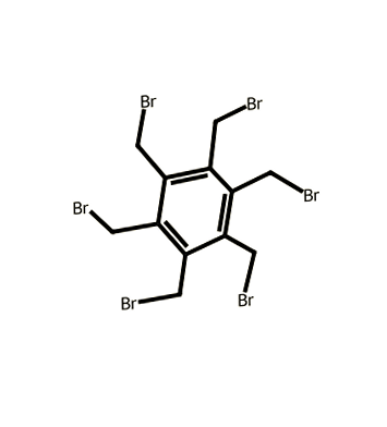 BrCc1c(CBr)c(CBr)c(CBr)c(CBr)c1CBr